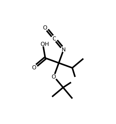 CC(C)C(N=C=O)(OC(C)(C)C)C(=O)O